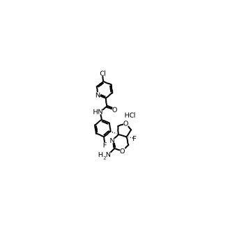 Cl.NC1=N[C@@]2(c3cc(NC(=O)c4ccc(Cl)cn4)ccc3F)COC[C@@]2(F)CO1